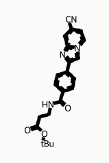 CC(C)(C)OC(=O)CCNC(=O)c1ccc(-c2cn3ccc(C#N)cc3n2)cc1